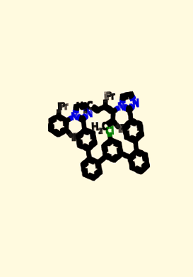 C=C/C(=C(\C(=C)C(C)C)n1ccnc1-c1ccc(-c2ccccc2-c2cc(Cl)cc(-c3ccccc3-c3ccc(-c4nccn4-c4c(C(C)C)cccc4C(C)C)cc3)c2)cc1)C(C)C